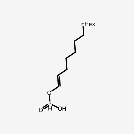 CCCCCCCCCCCC=CO[PH](=O)O